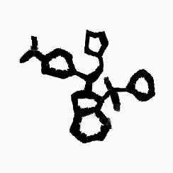 CN(C)c1ccc(C(=CC2CCCC2)c2cc3cccnc3n2S(=O)(=O)c2ccccc2)cc1